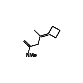 C=C(CC(C)=C1CCC1)NC